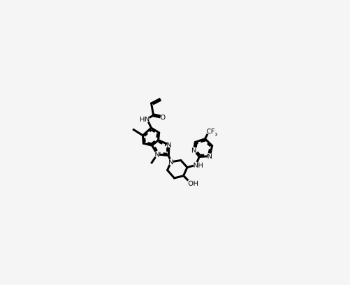 C=CC(=O)Nc1cc2nc(N3CCC(O)C(Nc4ncc(C(F)(F)F)cn4)C3)n(C)c2cc1C